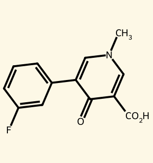 Cn1cc(C(=O)O)c(=O)c(-c2cccc(F)c2)c1